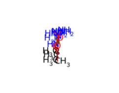 CC(C)CCCCC1CCC2C3CC=C4CC(OC(=O)NCCSSCC(N)C(=O)N(CCCNC(=N)N)CCCNC(=N)N)CCC4(C)C3CCC12C